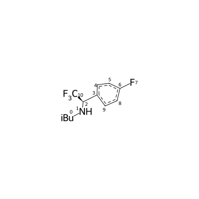 CCC(C)N[C@H](c1ccc(F)cc1)C(F)(F)F